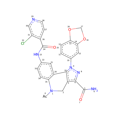 CC(=O)N1Cc2c(C(N)=O)nn(-c3ccc4c(c3)OCO4)c2-c2cc(NC(=O)c3ccncc3Cl)ccc21